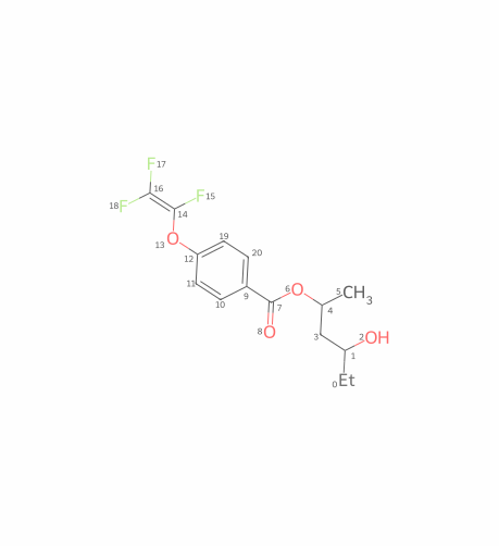 CCC(O)CC(C)OC(=O)c1ccc(OC(F)=C(F)F)cc1